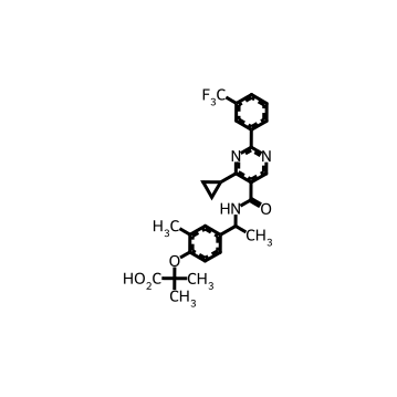 Cc1cc(C(C)NC(=O)c2cnc(-c3cccc(C(F)(F)F)c3)nc2C2CC2)ccc1OC(C)(C)C(=O)O